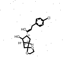 OC(=CCc1ccc(Cl)cc1)[C@@H]1C[C@H]2[C@@H](CC23OCCO3)C1O